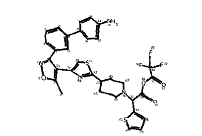 Cc1onc(-c2cccc(-c3ccc(N)cc3)c2)c1-c1csc(C2CCN(C(C(=O)OC(=O)C(F)(F)F)c3cccs3)CC2)n1